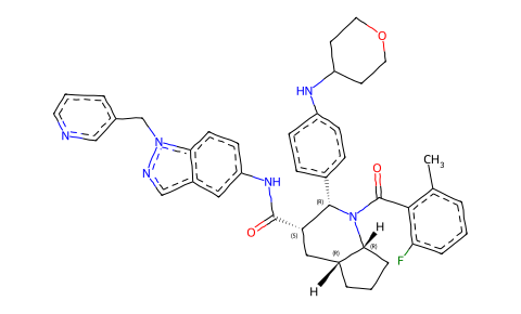 Cc1cccc(F)c1C(=O)N1[C@@H]2CCC[C@@H]2C[C@H](C(=O)Nc2ccc3c(cnn3Cc3cccnc3)c2)[C@@H]1c1ccc(NC2CCOCC2)cc1